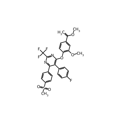 C=C(OC)c1ccc(Oc2nc(C(F)(F)F)nc(-c3ccc(S(C)(=O)=O)cc3)c2-c2ccc(F)cc2)c(OC)c1